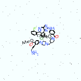 COC(=O)c1ccc(N2CCN(CC3CCN(C(=O)c4ccc(Nc5ncc6c(n5)-c5ccc(Cl)cc5C(c5c(F)cccc5OC)=NC6)cc4OC)CC3)CC2)cc1C#CCN